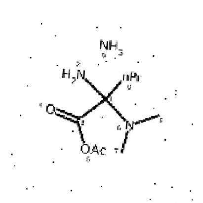 CCCC(N)(C(=O)OC(C)=O)N(C)C.N